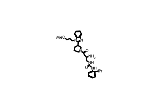 COCCCn1c(C2CCCN(C(=O)CC(N)CNC(=O)Nc3ccccc3C(C)C)C2)nc2ccccc21